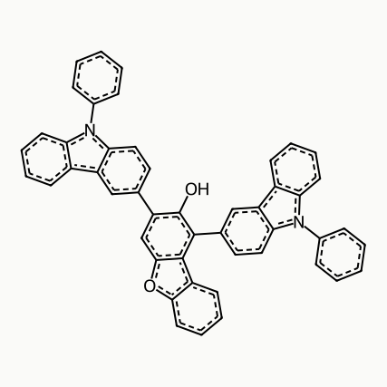 Oc1c(-c2ccc3c(c2)c2ccccc2n3-c2ccccc2)cc2oc3ccccc3c2c1-c1ccc2c(c1)c1ccccc1n2-c1ccccc1